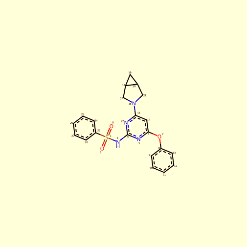 O=S(=O)(Nc1nc(Oc2ccccc2)cc(N2CC3CC3C2)n1)c1ccccc1